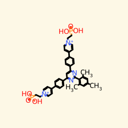 Cc1cc(C)c(-c2nc(-c3ccc(-c4cc[n+](CCP(=O)(O)O)cc4)cc3)cc(-c3ccc(-c4cc[n+](CCP(=O)(O)O)cc4)cc3)n2)c(C)c1